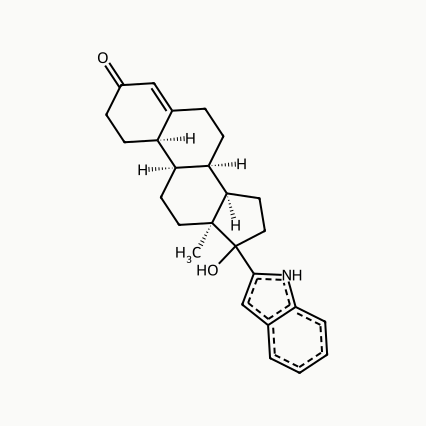 C[C@]12CC[C@@H]3[C@@H](CCC4=CC(=O)CC[C@@H]43)[C@H]1CCC2(O)c1cc2ccccc2[nH]1